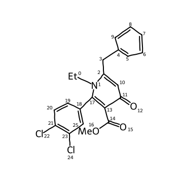 CCn1c(Cc2ccccc2)cc(=O)c(C(=O)OC)c1-c1ccc(Cl)c(Cl)c1